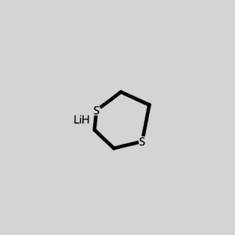 C1CSCCS1.[LiH]